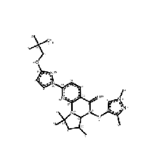 Cc1nn(C)cc1SN1C(=O)c2ccc(-n3ccc(OCC(C)(C)C(F)(F)F)n3)nc2N2C1C(C)CC2(C)C